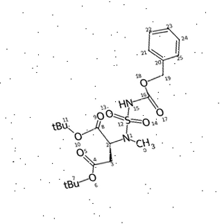 CN([C@@H](CC(=O)OC(C)(C)C)C(=O)OC(C)(C)C)S(=O)(=O)NC(=O)OCc1ccccc1